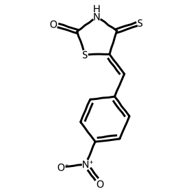 O=C1NC(=S)/C(=C/c2ccc([N+](=O)[O-])cc2)S1